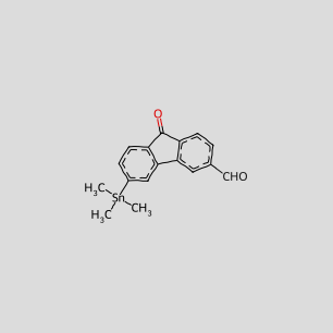 [CH3][Sn]([CH3])([CH3])[c]1ccc2c(c1)-c1cc(C=O)ccc1C2=O